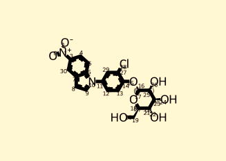 O=[N+]([O-])c1ccc2c(ccn2-c2ccc(O[C@H]3O[C@H](CO)[C@@H](O)[C@H](O)[C@@H]3O)c(Cl)c2)c1